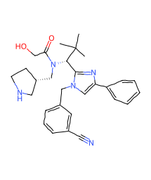 CC(C)(C)[C@H](c1nc(-c2ccccc2)cn1Cc1cccc(C#N)c1)N(C[C@H]1CCNC1)C(=O)CO